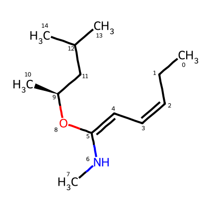 CC/C=C\C=C(/NC)O[C@@H](C)CC(C)C